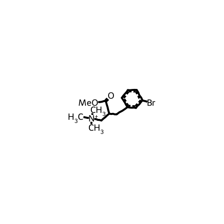 COC(=O)C(Cc1cccc(Br)c1)C[N+](C)(C)C